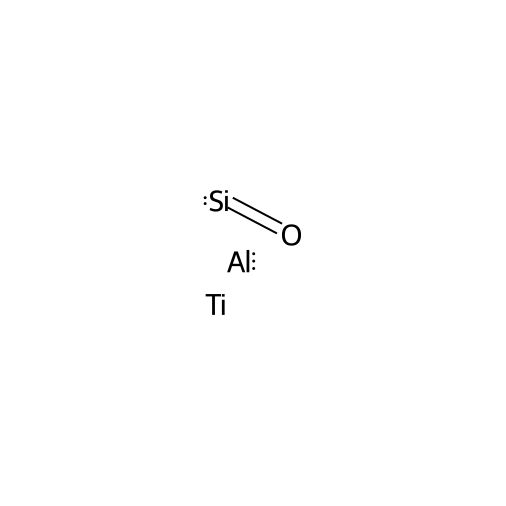 O=[Si].[Al].[Ti]